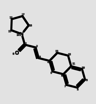 O=C(C=CC1=Cc2ccccc2CC1)N1CCCC1